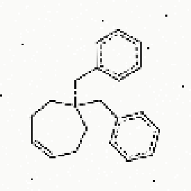 C1=CCCC(Cc2ccccc2)(Cc2ccccc2)CC1